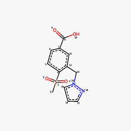 CS(=O)(=O)c1ccc(C(=O)O)cc1Cn1cccn1